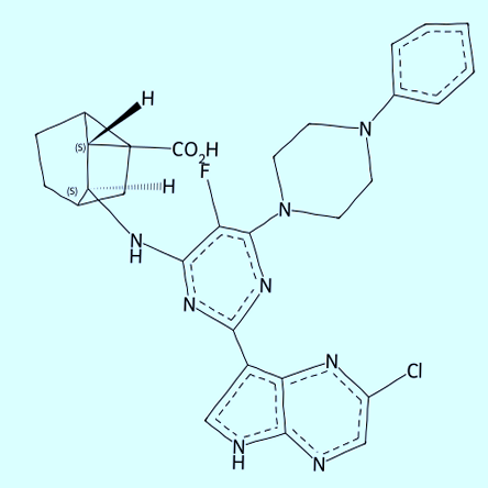 O=C(O)[C@H]1C2CCC(CC2)[C@@H]1Nc1nc(-c2c[nH]c3ncc(Cl)nc23)nc(N2CCN(c3ccccc3)CC2)c1F